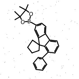 CC1(C)OB(c2ccc3c(c2)C2(CCCC2)c2c(-c4ccccc4)cccc2-3)OC1(C)C